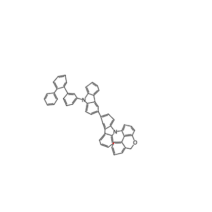 c1ccc(-c2ccccc2-c2cccc(-n3c4ccccc4c4cc(-c5ccc6c(c5)c5ccccc5n6-c5cccc6c5-c5ccccc5CO6)ccc43)c2)cc1